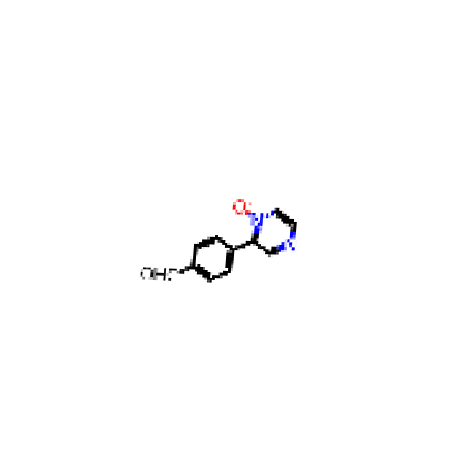 O=Cc1ccc(-c2cncc[n+]2[O-])cc1